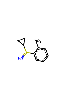 N=S(c1ccccc1[N+](=O)[O-])C1CC1